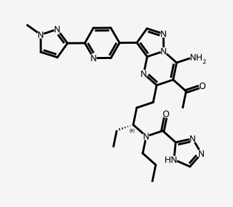 CCCN(C(=O)c1nnc[nH]1)[C@H](CC)CCc1nc2c(-c3ccc(-c4ccn(C)n4)nc3)cnn2c(N)c1C(C)=O